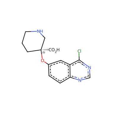 O=C(O)[C@]1(Oc2ccc3ncnc(Cl)c3c2)CCCNC1